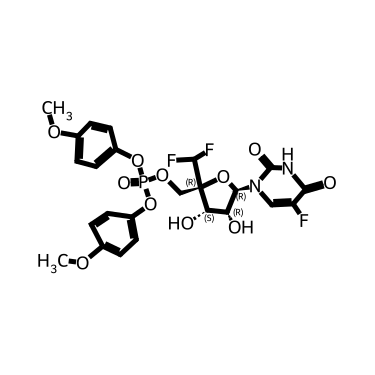 COc1ccc(OP(=O)(OC[C@@]2(C(F)F)O[C@@H](n3cc(F)c(=O)[nH]c3=O)[C@H](O)[C@@H]2O)Oc2ccc(OC)cc2)cc1